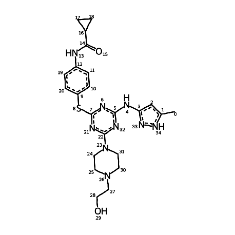 Cc1cc(Nc2nc(Sc3ccc(NC(=O)C4CC4)cc3)nc(N3CCN(CCO)CC3)n2)n[nH]1